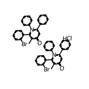 Cc1c(-c2ccccc2Br)n(-c2ccccc2)c(-c2ccccc2)cc1=O.Cc1c(-c2ccccc2Br)n(-c2ccccc2)c(-c2ccccc2)cc1=O.Cl